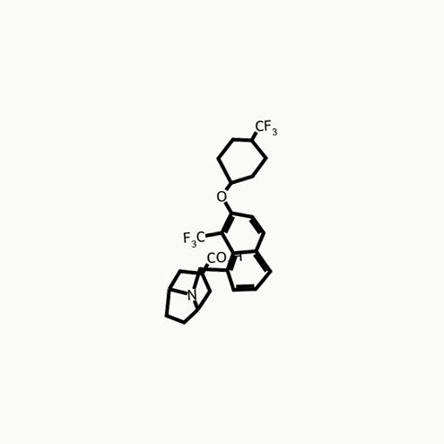 O=C(O)C1CC2CCC(C1)N2Cc1cccc2ccc(OC3CCC(C(F)(F)F)CC3)c(C(F)(F)F)c12